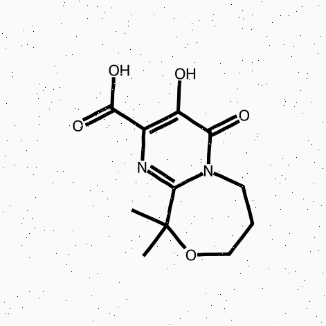 CC1(C)OCCCn2c1nc(C(=O)O)c(O)c2=O